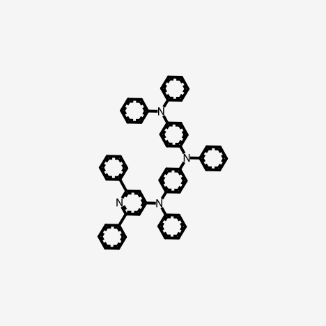 c1ccc(-c2cc(N(c3ccccc3)c3ccc(N(c4ccccc4)c4ccc(N(c5ccccc5)c5ccccc5)cc4)cc3)cc(-c3ccccc3)n2)cc1